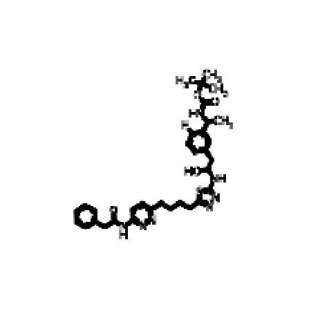 CC(NC(=O)OC(C)(C)C)c1cc(CC(O)Nc2nnc(CCCCc3ccc(NC(=O)Cc4ccccc4)nn3)s2)ccc1F